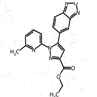 CCOC(=O)c1cc(-c2ccc3nonc3c2)n(-c2cccc(C)n2)n1